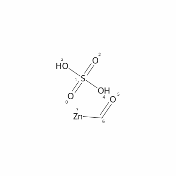 O=S(=O)(O)O.O=[CH][Zn]